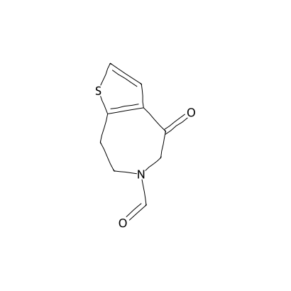 O=CN1CCc2sccc2C(=O)C1